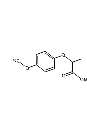 COC(=O)C(C)Oc1ccc(OC#N)cc1